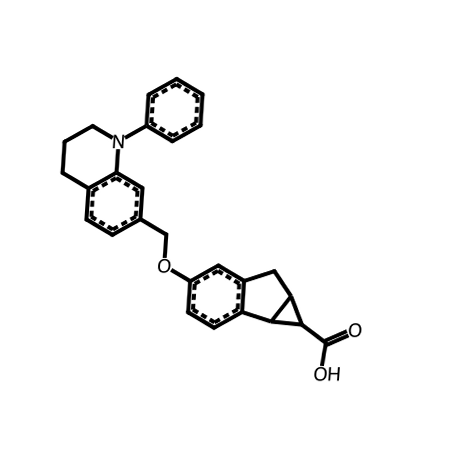 O=C(O)C1C2Cc3cc(OCc4ccc5c(c4)N(c4ccccc4)CCC5)ccc3C21